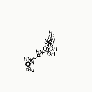 CC(C)(C)c1ccc2[nH]c(CC[C@H]3C[C@H](NC[C@H]4O[C@@H](n5cnc6c(N)ncnc65)[C@@H](O)[C@H]4O)C3)nc2c1